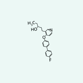 CCC(O)CCc1cnccc1Oc1ccc(-c2ccc(F)cc2)cc1